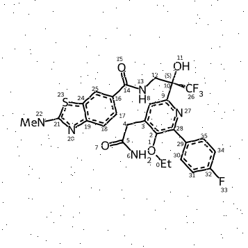 CCOc1c(CC(N)=O)cc([C@@](O)(CNC(=O)c2ccc3nc(NC)sc3c2)C(F)(F)F)nc1-c1ccc(F)cc1